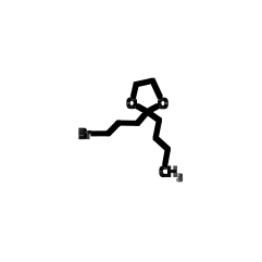 CCCCC1(CCCBr)OCCO1